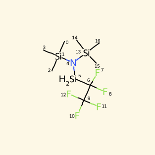 C[Si](C)(C)N([SiH2]C(F)(F)C(F)(F)F)[Si](C)(C)C